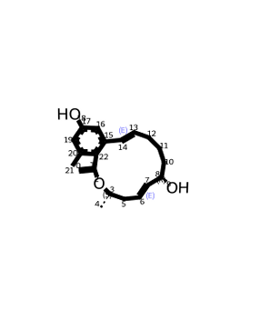 C=C1O[C@@H](C)C/C=C/[C@H](O)CCC/C=C/c2cc(O)cc(C)c21